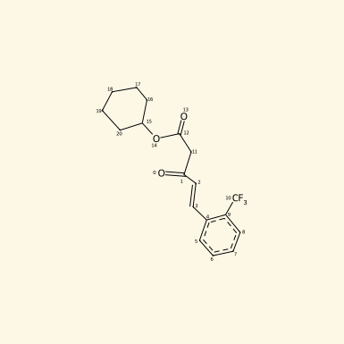 O=C(C=Cc1ccccc1C(F)(F)F)CC(=O)OC1CCCCC1